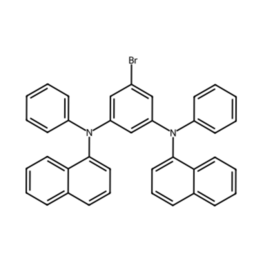 Brc1cc(N(c2ccccc2)c2cccc3ccccc23)cc(N(c2ccccc2)c2cccc3ccccc23)c1